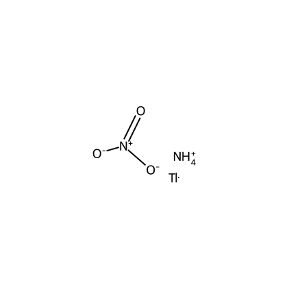 O=[N+]([O-])[O-].[NH4+].[Tl]